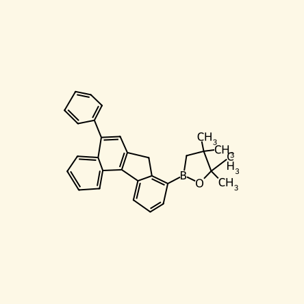 CC1(C)CB(c2cccc3c2Cc2cc(-c4ccccc4)c4ccccc4c2-3)OC1(C)C